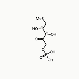 CSC[C@@H](O)[C@@H](O)C(=O)COP(=O)(O)O